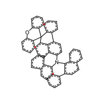 c1ccc(-c2ccc3ccccc3c2N(c2cccc3ccccc23)c2ccc3c4c(cccc24)C2(c4ccccc4Oc4ccccc42)c2ccccc2-3)cc1